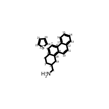 NCC1CCc2ccc3c(ccc4ccccc43)c2C1.c1ccsc1